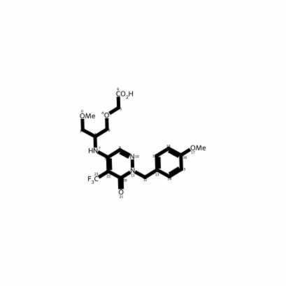 COCC(COCC(=O)O)Nc1cnn(Cc2ccc(OC)cc2)c(=O)c1C(F)(F)F